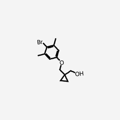 Cc1cc(OCC2(CO)CC2)cc(C)c1Br